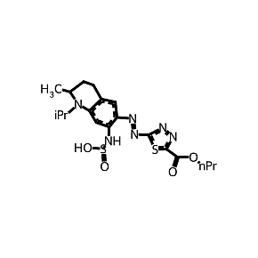 CCCOC(=O)c1nnc(N=Nc2cc3c(cc2NS(=O)O)N(C(C)C)C(C)CC3)s1